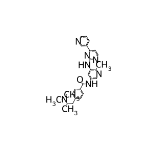 Cc1ncc(NC(=O)c2ccc(CC(C)N(C)C)cc2)cc1Nc1nccc(-c2cccnc2)n1